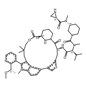 CO[C@@H](C)c1ncccc1-c1c2c3cc(ccc3n1C)-c1csc(n1)C[C@H](NC(=O)[C@H](C(C)C)N(C)C(=O)N1CCC[C@@H](N(C)C(=O)[C@H]3CN3)C1)C(=O)N1CCC[C@H](N1)C(=O)OCC(C)(C)C2